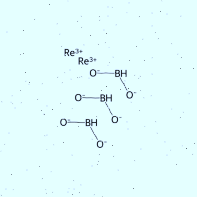 [O-]B[O-].[O-]B[O-].[O-]B[O-].[Re+3].[Re+3]